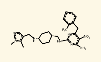 Cc1c(CN[C@H]2CC[C@H](CNc3nc(N)c([N+](=O)[O-])c(Cc4cnccc4C(F)(F)F)n3)CC2)cnn1C